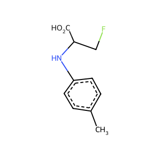 Cc1ccc(NC(CF)C(=O)O)cc1